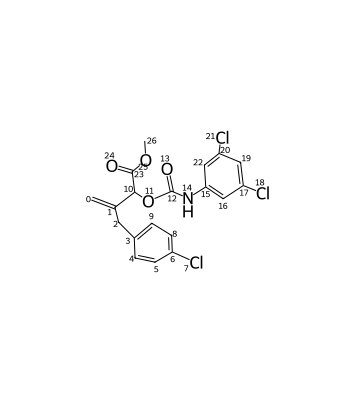 C=C(Cc1ccc(Cl)cc1)C(OC(=O)Nc1cc(Cl)cc(Cl)c1)C(=O)OC